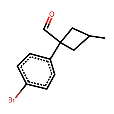 CC1CC(C=O)(c2ccc(Br)cc2)C1